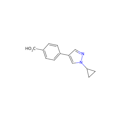 O=C(O)c1ccc(-c2cnn(C3CC3)c2)cc1